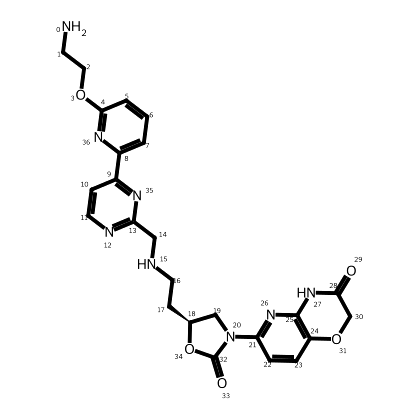 NCCOc1cccc(-c2ccnc(CNCC[C@H]3CN(c4ccc5c(n4)NC(=O)CO5)C(=O)O3)n2)n1